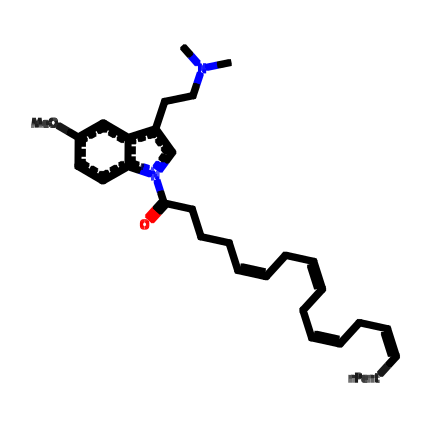 CCCCC/C=C\C/C=C\C/C=C\C/C=C\CCCC(=O)n1cc(CCN(C)C)c2cc(OC)ccc21